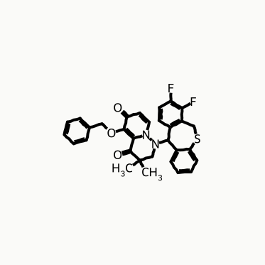 CC1(C)CN(C2c3ccccc3SCc3c2ccc(F)c3F)n2ccc(=O)c(OCc3ccccc3)c2C1=O